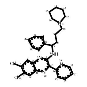 Clc1cc2nc(NC(CCCN3CCCCC3)c3ccccc3)c(-c3ccccn3)nc2cc1Cl